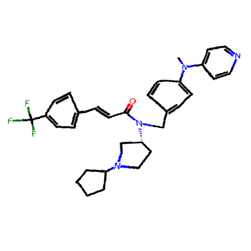 CN(c1ccncc1)c1ccc(CN(C(=O)C=Cc2ccc(C(F)(F)F)cc2)[C@@H]2CCN(C3CCCC3)C2)cc1